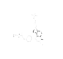 CCN1CN([C@H]2CC[C@H](CNS(=O)(=O)C3CC3)CC2)c2c(cnc3c2ccn3COCC[Si](C)(C)C)C1=O